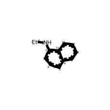 C[CH]Nc1cccc2ccccc12